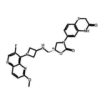 COc1ccc2ncc(F)c(N3CC(NC[C@@H]4CN(c5ccc6c(c5)NC(=O)CS6)C(=O)O4)C3)c2n1